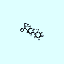 [CH2]CC(=O)c1ccc(-c2ccccc2)cc1